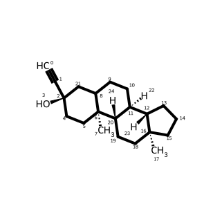 C#C[C@@]1(O)CC[C@@]2(C)C(CC[C@H]3[C@@H]4CCC[C@@]4(C)CC[C@@H]32)C1